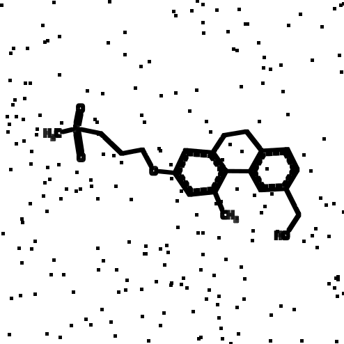 Cc1cc(OCCCS(C)(=O)=O)cc2c1-c1cc(CO)ccc1CC2